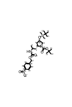 CC(C[C@@H]1C[C@@H](O[Si](C)(C)C(C)(C)C)CN1C(=O)OC(C)(C)C)NC(=O)OCc1ccc([N+](=O)[O-])cc1